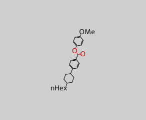 CCCCCCC1CCC(c2ccc(C(=O)Oc3ccc(OC)cc3)cc2)CC1